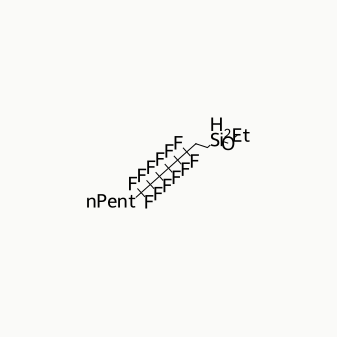 CCCCCC(F)(F)C(F)(F)C(F)(F)C(F)(F)C(F)(F)C(F)(F)CC[SiH2]OCC